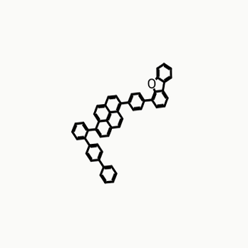 c1ccc(-c2ccc(-c3ccccc3-c3ccc4ccc5c(-c6ccc(-c7cccc8c7oc7ccccc78)cc6)ccc6ccc3c4c65)cc2)cc1